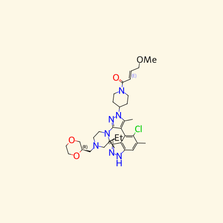 CC[C@@]1(C)CN(C[C@@H]2COCCO2)CCN1c1nn(C2CCN(C(=O)/C=C/COC)CC2)c(C)c1-c1c(Cl)c(C)cc2[nH]ncc12